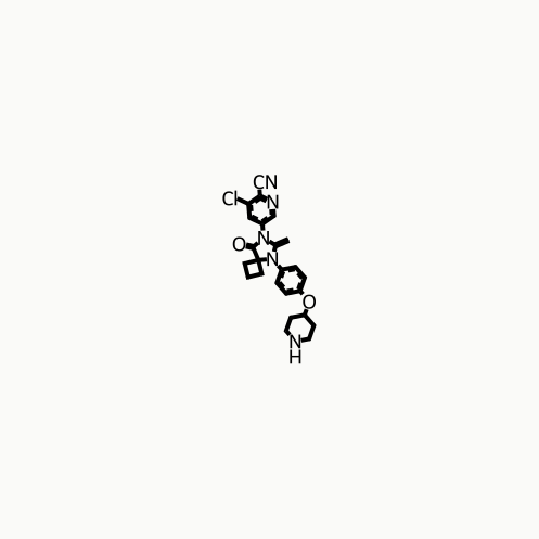 C=C1N(c2cnc(C#N)c(Cl)c2)C(=O)C2(CCC2)N1c1ccc(OC2CCNCC2)cc1